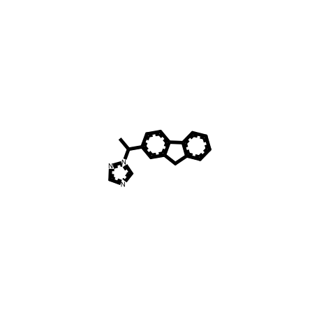 CC(c1ccc2c(c1)Cc1ccccc1-2)n1cncn1